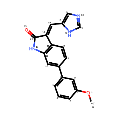 CCOc1cccc(-c2ccc3c(c2)NC(=O)C3=Cc2cnc[nH]2)c1